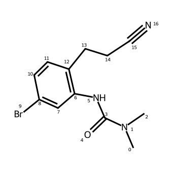 CN(C)C(=O)Nc1cc(Br)ccc1CCC#N